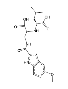 COc1ccc2[nH]c(C(=O)NCC(N[C@@H](CC(C)C)C(=O)O)C(=O)O)cc2c1